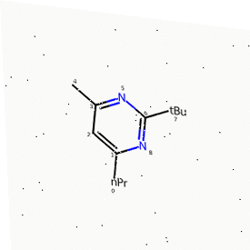 CCCc1cc(C)nc(C(C)(C)C)n1